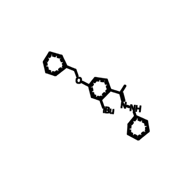 [CH2]CC(C)c1cc(OCc2ccccc2)ccc1C(C)=NNc1ccccc1